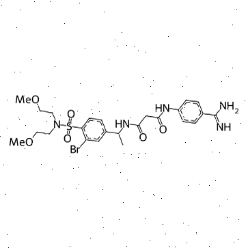 COCCN(CCOC)S(=O)(=O)c1ccc(C(C)NC(=O)CC(=O)Nc2ccc(C(=N)N)cc2)cc1Br